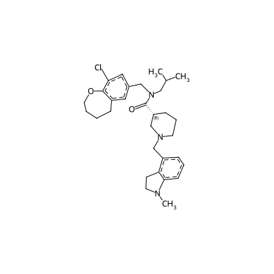 CC(C)CN(Cc1cc(Cl)c2c(c1)CCCCO2)C(=O)[C@@H]1CCCN(Cc2cccc3c2CCN3C)C1